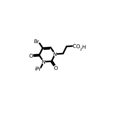 CC(C)n1c(=O)c(Br)cn(CCC(=O)O)c1=O